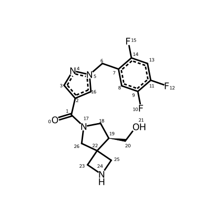 O=C(c1cnn(Cc2cc(F)c(F)cc2F)c1)N1C[C@@H](CO)C2(CNC2)C1